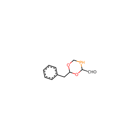 O=CC1OC(Cc2ccccc2)OCP1